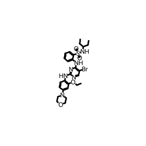 CCOc1cc(N2CCOCC2)ccc1Nc1ncc(Br)c(Nc2ccccc2S(=O)(=O)NC(CC)CC)n1